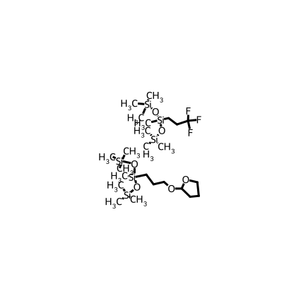 C[Si](C)(C)O[Si](C)(CCC(F)(F)F)O[Si](C)(C)C.C[Si](C)(C)O[Si](C)(CCCOC1CCCO1)O[Si](C)(C)C